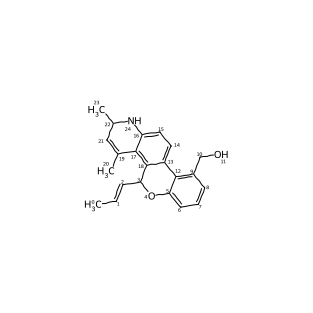 CC=CC1Oc2cccc(CO)c2-c2ccc3c(c21)C(C)=CC(C)N3